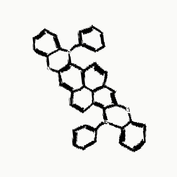 c1ccc(B2c3ccccc3Oc3cc4ccc5c6c(cc7ccc(c32)c4c75)Oc2ccccc2B6c2ccccc2)cc1